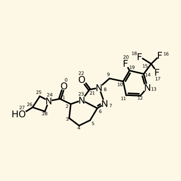 O=C(C1CCCc2nn(Cc3ccnc(C(F)(F)F)c3F)c(=O)n21)N1CC(O)C1